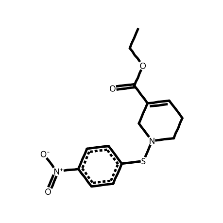 CCOC(=O)C1=CCCN(Sc2ccc([N+](=O)[O-])cc2)C1